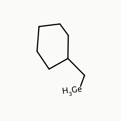 [GeH3][CH2]C1CCCCC1